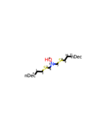 CCCCCCCCCCCCSCN(O)CSCCCCCCCCCCCC